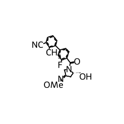 CO/N=C1\C[C@@H](CO)N(C(=O)c2ccc(-c3cccc(C#N)c3C)cc2F)C1